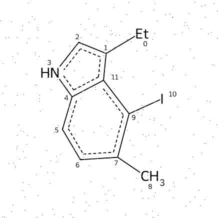 CCc1c[nH]c2ccc(C)c(I)c12